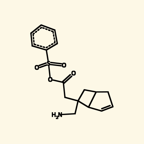 NCC1(CC(=O)OS(=O)(=O)c2ccccc2)CC2CC=CC21